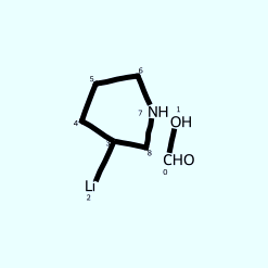 O=CO.[Li][CH]1CCCNC1